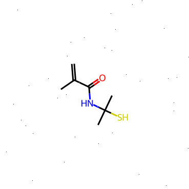 C=C(C)C(=O)NC(C)(C)S